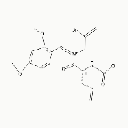 C=CC[C@@H](NC(=O)[O-])C(=O)[N+](=Cc1ccc(OC)cc1OC)CC(=C)Br